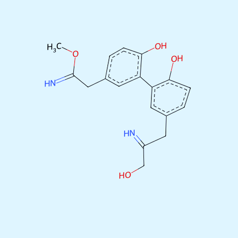 COC(=N)Cc1ccc(O)c(-c2cc(CC(=N)CO)ccc2O)c1